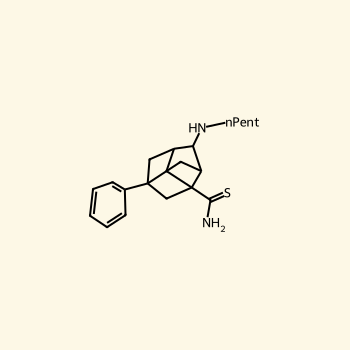 CCCCCNC1C2CC3(c4ccccc4)CC1C(C(N)=S)(C2)C3